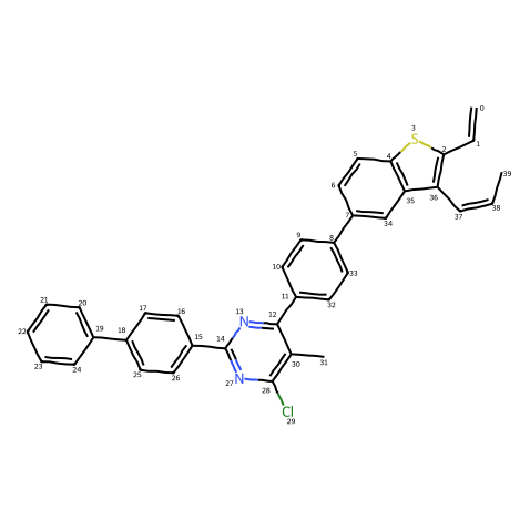 C=Cc1sc2ccc(-c3ccc(-c4nc(-c5ccc(-c6ccccc6)cc5)nc(Cl)c4C)cc3)cc2c1/C=C\C